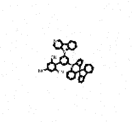 N#Cc1cc(C#N)c(-c2cc(N3c4ccccc4C4(c5ccccc5-c5ccccc54)c4ccccc43)cc(-n3c4ccccc4c4cnccc43)c2)c(C#N)c1